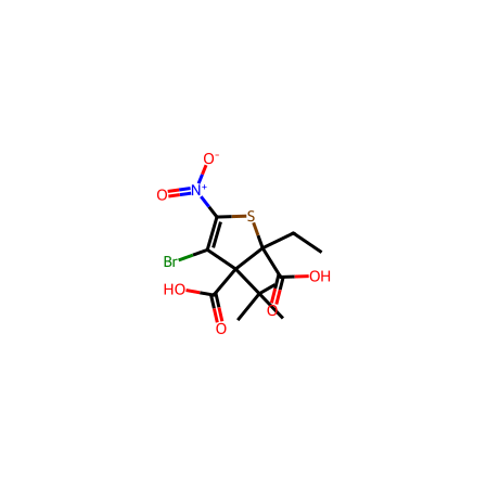 CCC1(C(=O)O)SC([N+](=O)[O-])=C(Br)C1(C(=O)O)C(C)(C)C